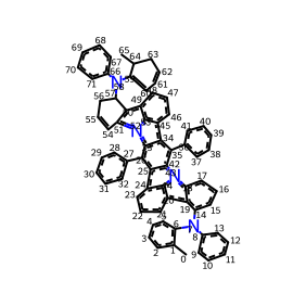 Cc1ccccc1N(c1ccccc1)c1cccc2c1c1cccc3c4c(-c5ccccc5)c5c(c(-c6ccccc6)c4n2c13)c1cccc2c3c(n5c21)C=CCC3N(C1=CC=CCC1C)c1ccccc1